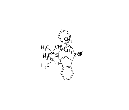 CC1=C2c3ccccc3[CH]1[Zr+2][CH]1C(C)=C(c3ccccc31)[Si]2([Si](C)(C)C)[Si](C)(C)C.[Cl-].[Cl-]